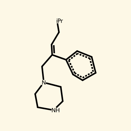 CC(C)C/C=C(/CN1CCNCC1)c1ccccc1